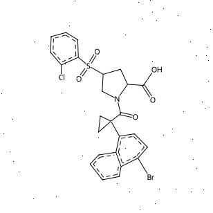 O=C(O)C1CC(S(=O)(=O)c2ccccc2Cl)CN1C(=O)C1(c2ccc(Br)c3ccccc23)CC1